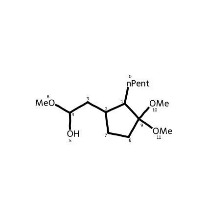 CCCCCC1C(CC(O)OC)CCC1(OC)OC